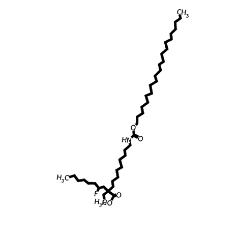 CCCCCCCCCCCCCCCCCCCCCCOC(=O)NCCCCCCCCCC(CC)(CC(F)CCCCCC)C(=O)O